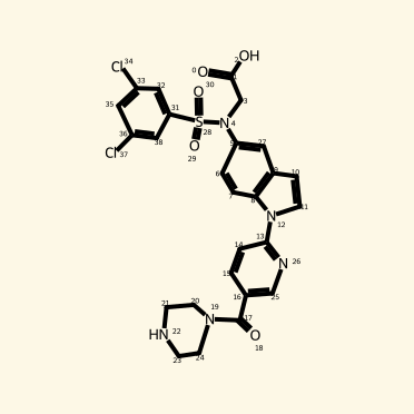 O=C(O)CN(c1ccc2c(ccn2-c2ccc(C(=O)N3CCNCC3)cn2)c1)S(=O)(=O)c1cc(Cl)cc(Cl)c1